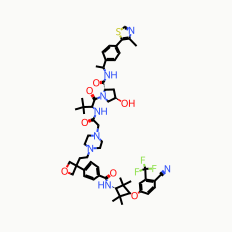 Cc1ncsc1-c1ccc(C(C)NC(=O)[C@@H]2C[C@@H](O)CN2C(=O)[C@@H](NC(=O)CN2CCN(CCC3(c4ccc(C(=O)N[C@H]5C(C)(C)[C@H](Oc6ccc(C#N)c(C(F)(F)F)c6)C5(C)C)cc4)COC3)CC2)C(C)(C)C)cc1